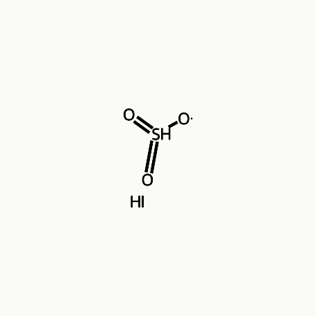 I.[O][SH](=O)=O